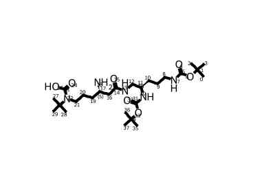 CC(C)(C)OC(=O)NCCC[C@H](CNC(=O)C[C@@H](N)CCCN(C(=O)O)C(C)(C)C)NC(=O)OC(C)(C)C